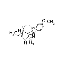 CC[C@H]1C[C@@H]2CN3CCc4c([nH]c5ccc(OC)cc45)[C@](C(C)=O)(C2)C13